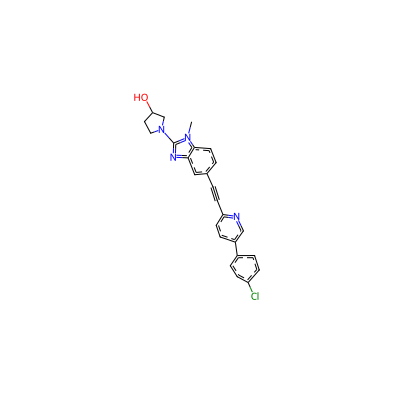 Cn1c(N2CCC(O)C2)nc2cc(C#Cc3ccc(-c4ccc(Cl)cc4)cn3)ccc21